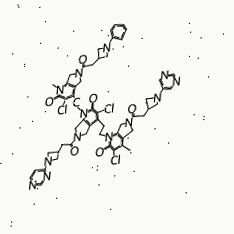 Cc1c2c(n(CCc3c4c(n(CCc5c6c(n(C)c(=O)c5Cl)CN(C(=O)CC5CN(c7ccccc7)C5)C6)c(=O)c3Cl)CN(C(=O)CC3CN(c5ccncn5)C3)C4)c(=O)c1Cl)CN(C(=O)CC1CN(c3cncnc3)C1)C2